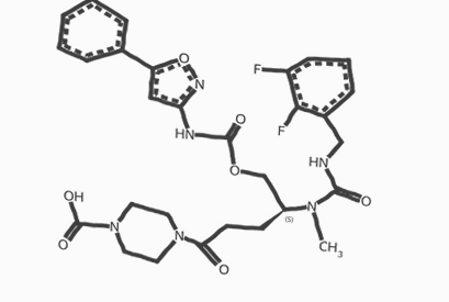 CN(C(=O)NCc1cccc(F)c1F)[C@@H](CCC(=O)N1CCN(C(=O)O)CC1)COC(=O)Nc1cc(-c2ccccc2)on1